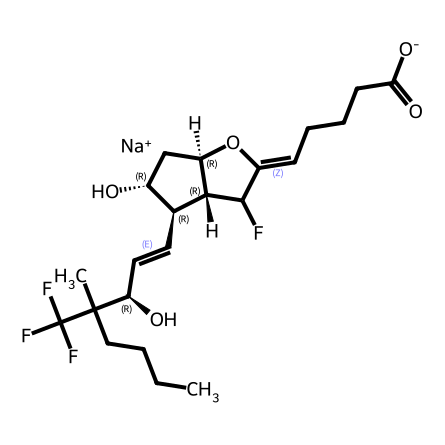 CCCCC(C)([C@H](O)/C=C/[C@@H]1[C@H]2C(F)/C(=C/CCCC(=O)[O-])O[C@@H]2C[C@H]1O)C(F)(F)F.[Na+]